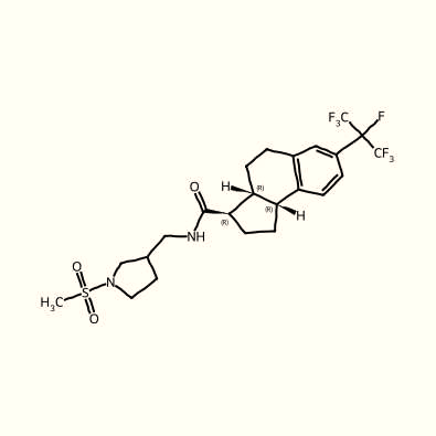 CS(=O)(=O)N1CCC(CNC(=O)[C@@H]2CC[C@H]3c4ccc(C(F)(C(F)(F)F)C(F)(F)F)cc4CC[C@@H]23)C1